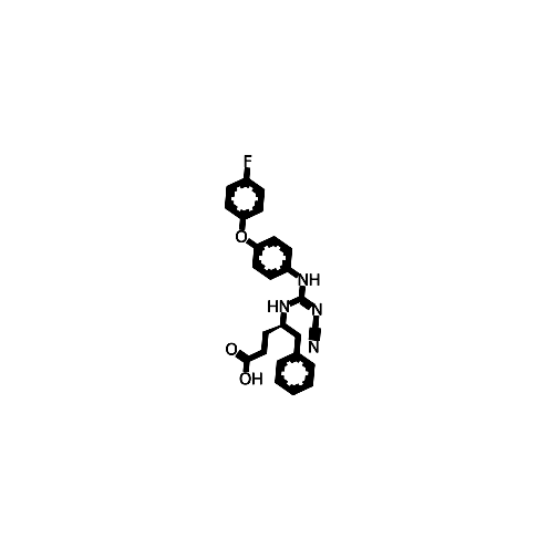 N#C/N=C(/Nc1ccc(Oc2ccc(F)cc2)cc1)N[C@H](CCC(=O)O)Cc1ccccc1